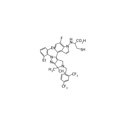 CCc1cccc(CC)c1-n1nc2c(c1-c1ccc(F)c3c1ccn3NC(CS)C(=O)O)CN(Cc1ccc(C(F)(F)F)cc1C(F)(F)F)C2(C)C